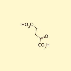 O=C(O)CCC(=O)[13C](=O)O